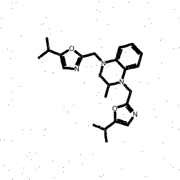 CC(C)c1cnc(CN2CC(C)N(Cc3ncc(C(C)C)o3)c3ccccc32)o1